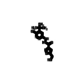 CC(C)(C)c1cc(NNC(=O)c2cc(CO)on2)nnc1Cl